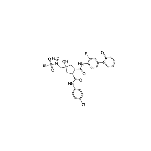 CCS(=O)(=O)N(C)CC1(O)C[C@H](C(=O)Nc2ccc(Cl)cc2)[C@@H](C(=O)Nc2ccc(-n3ccccc3=O)cc2F)C1